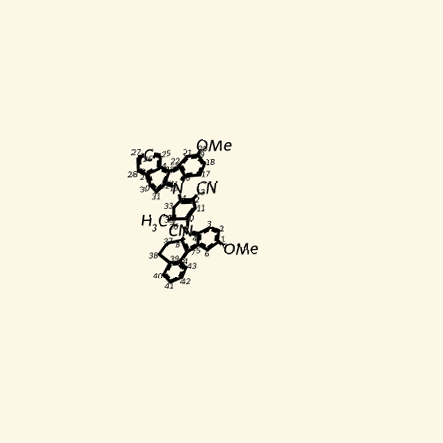 COc1ccc2c(c1)c1c(n2C2=CC(C#N)=C(n3c4ccc(OC)cc4c4c5ccccc5ccc43)C[C@@]2(C)C#N)CCc2ccccc2-1